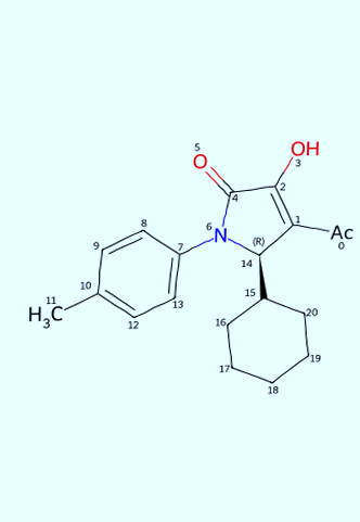 CC(=O)C1=C(O)C(=O)N(c2ccc(C)cc2)[C@@H]1C1CCCCC1